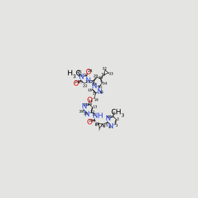 Cc1ccnc([C@H]2C[C@@H]2C(=O)Nc2cc(OCc3cn4c(N5CC(=O)N(C)C5=O)cc(C5CC5)cc4n3)ncn2)n1